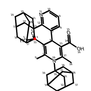 CC1=C(C(=O)O)C(c2cccnc2C23CC4CC(CC(C4)C2)C3)C(C(=O)O)=C(C)N1C12CC3CC(CC(C3)C1)C2